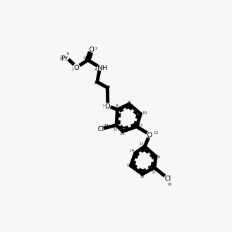 CC(C)OC(=O)NCCOc1ccc(Oc2cccc(Cl)c2)cc1Cl